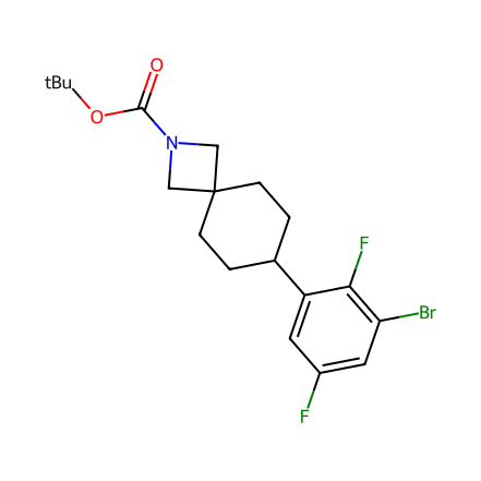 CC(C)(C)OC(=O)N1CC2(CCC(c3cc(F)cc(Br)c3F)CC2)C1